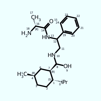 CC(C)[C@@H]1CC[C@@H](C)C[C@H]1C(O)NCC(NC(=O)[C@@H](C)N)c1ccccc1